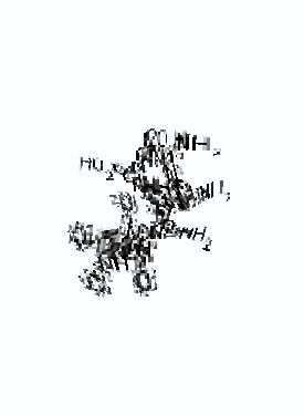 NCCCCN(CC(=O)N(CCC(=O)O)CC(=O)N(CCC(=O)O)CC(N)=O)C(=O)CN(CCCCN)C(=O)CN(CCCCN)C(=O)CN(CCCCN)C(=O)CN(CCc1ccccc1)C(=O)CN(CCc1ccccc1)C(=O)CN(CCc1ccccc1)C(=O)CNCCc1ccccc1